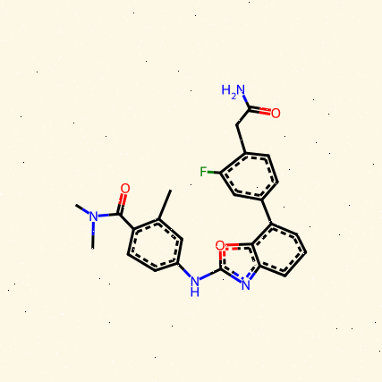 Cc1cc(Nc2nc3cccc(-c4ccc(CC(N)=O)c(F)c4)c3o2)ccc1C(=O)N(C)C